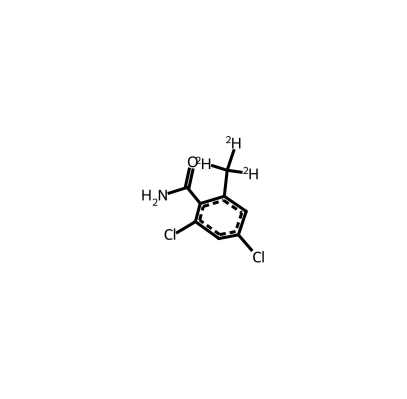 [2H]C([2H])([2H])c1cc(Cl)cc(Cl)c1C(N)=O